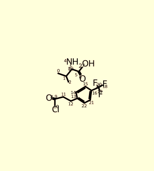 CC(C)[C@H](N)C(=O)O.O=C(Cl)CCc1ccc(C(F)(F)F)cc1